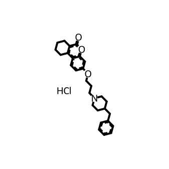 Cl.O=c1oc2cc(OCCCN3CCC(Cc4ccccc4)CC3)ccc2c2c1CCCC2